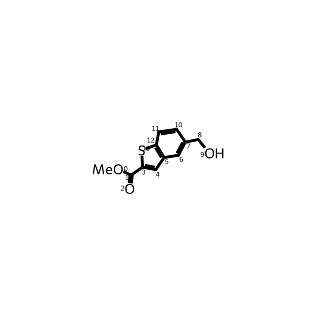 COC(=O)c1cc2cc(CO)ccc2s1